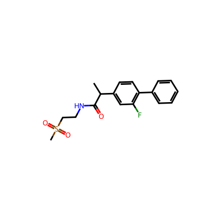 CC(C(=O)NCCS(C)(=O)=O)c1ccc(-c2ccccc2)c(F)c1